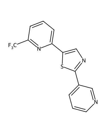 FC(F)(F)c1cccc(-c2cnc(-c3cccnc3)s2)n1